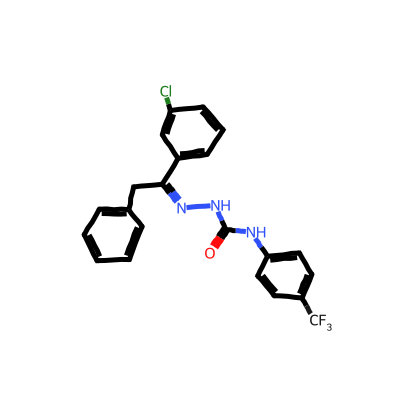 O=C(NN=C(Cc1ccccc1)c1cccc(Cl)c1)Nc1ccc(C(F)(F)F)cc1